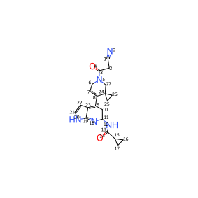 N#CCC(=O)N1CC=C(c2cc(NC(=O)C3CC3)nc3[nH]ccc23)C2(CC2)C1